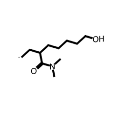 [CH2]CC(CCCCCO)C(=O)N(C)C